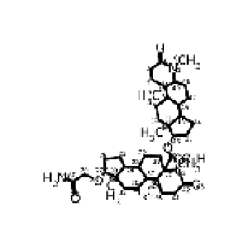 CN1C(=O)CC[C@]2(C)C3CC[C@@]4(C)C(CC[C@@H]4OC(C(=O)O)C45CCC6C7CC[C@H](OCC(N)=O)[C@@]7(C)CCC6[C@@]4(C)CCC(=O)N5C)C3CCC12